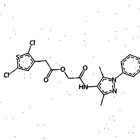 Cc1nn(-c2ccccc2)c(C)c1NC(=O)COC(=O)Cc1cc(Cl)sc1Cl